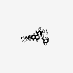 Bc1c(OCC2COCCO2)n2c(c(C)c1=O)-c1ccc(OC(B)(B)C(F)(F)F)cc1CC2